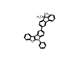 CC1(C)c2ccccc2-c2cc(-c3ccc4c(c3)c3c5ccccc5oc3n4-c3ccccc3)ccc21